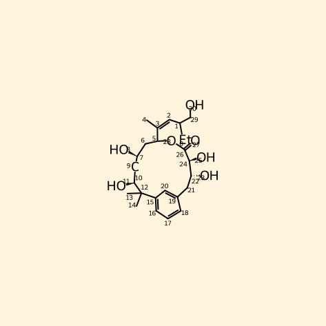 CCC(/C=C(/C)C1C[C@H](O)C[C@H](O)C(C)(C)c2cccc(c2)C[C@@H](O)[C@H](O)C(=O)O1)CO